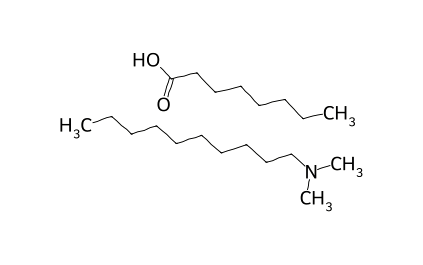 CCCCCCCC(=O)O.CCCCCCCCCCN(C)C